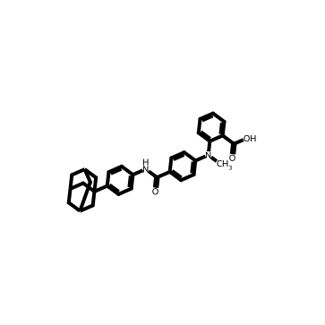 CN(c1ccc(C(=O)Nc2ccc(C34CC5CC(CC(C5)C3)C4)cc2)cc1)c1ccccc1C(=O)O